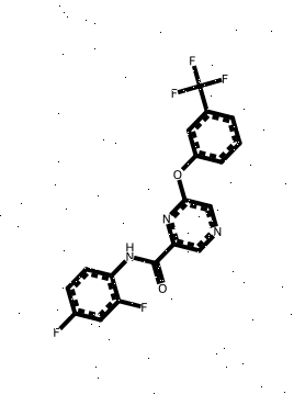 O=C(Nc1ccc(F)cc1F)c1cncc(Oc2cccc(C(F)(F)F)c2)n1